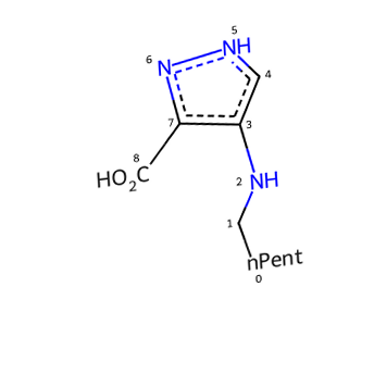 CCCCCCNc1c[nH]nc1C(=O)O